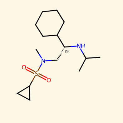 CC(C)N[C@H](CN(C)S(=O)(=O)C1CC1)C1CCCCC1